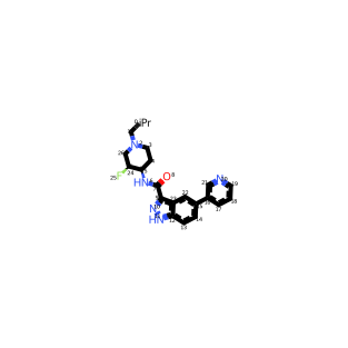 CC(C)CN1CC[C@@H](NC(=O)c2n[nH]c3ccc(-c4cccnc4)cc23)[C@@H](F)C1